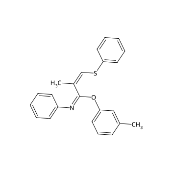 CC(=CSc1ccccc1)C(=Nc1ccccc1)Oc1cccc(C)c1